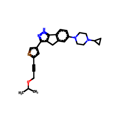 CC(C)OCC#Cc1cc(-c2n[nH]c3c2Cc2cc(N4CCN(C5CC5)CC4)ccc2-3)cs1